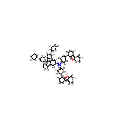 c1ccc(-c2ccc(C3(c4ccc(-c5ccccc5)cc4)c4ccccc4-c4cc(N(c5ccc(-c6cccc7c6oc6ccccc67)cc5)c5ccc(-c6cccc7c6oc6ccccc67)cc5)ccc43)cc2)cc1